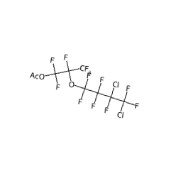 CC(=O)OC(F)(F)C(F)(OC(F)(F)C(F)(F)C(F)(Cl)C(F)(F)Cl)C(F)(F)F